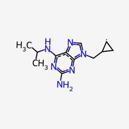 CC(C)Nc1nc(N)nc2c1ncn2CC1[CH]C1